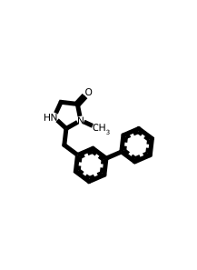 CN1C(=O)CNC1Cc1cccc(-c2ccccc2)c1